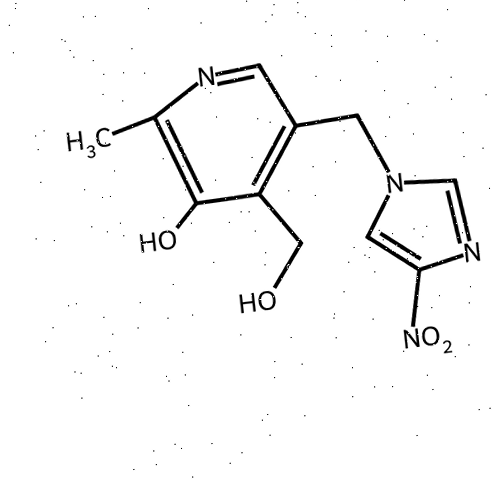 Cc1ncc(Cn2cnc([N+](=O)[O-])c2)c(CO)c1O